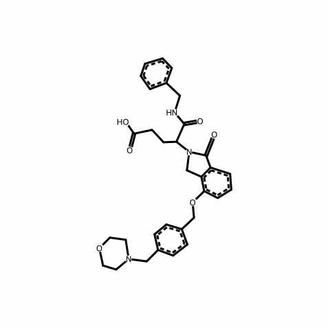 O=C(O)CCC(C(=O)NCc1ccccc1)N1Cc2c(OCc3ccc(CN4CCOCC4)cc3)cccc2C1=O